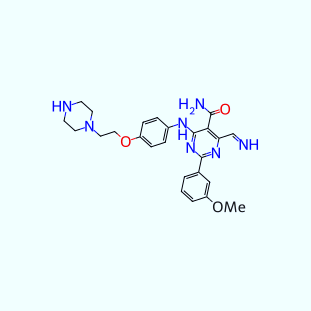 COc1cccc(-c2nc(C=N)c(C(N)=O)c(Nc3ccc(OCCN4CCNCC4)cc3)n2)c1